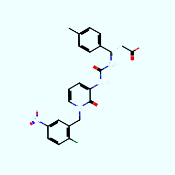 Cc1ccc([C@H](CC(=O)O)NC(=O)Nc2cccn(Cc3cc([N+](=O)[O-])ccc3Br)c2=O)cc1